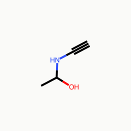 C#CNC(C)O